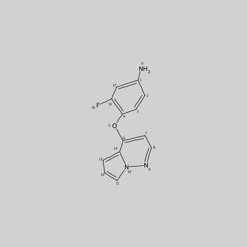 Nc1ccc(Oc2ccnn3cccc23)c(F)c1